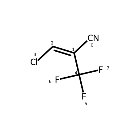 N#CC(=CCl)C(F)(F)F